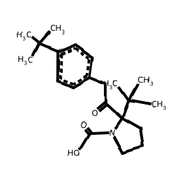 CC(C)(C)c1ccc(CC(=O)C2(C(C)(C)C)CCCN2C(=O)O)cc1